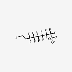 CCCC(F)(F)C(F)(F)C(F)(F)C(F)(F)C(F)(F)C(F)(F)S(=O)(=O)[O-].[Li+]